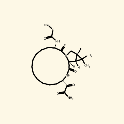 CC(C)(C)OC(=O)N[C@H]1CCCCCCCCCC[C@@H](C(=O)C(N)=O)NC(=O)[C@@H]2[C@@H]3[C@H](CN2C1=O)C3(C)C